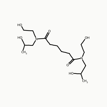 CC(O)CN(CCO)C(=O)CCCCC(=O)N(CCO)CC(C)O